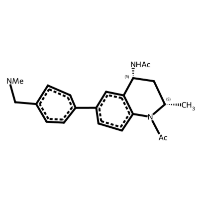 CNCc1ccc(-c2ccc3c(c2)[C@H](NC(C)=O)C[C@H](C)N3C(C)=O)cc1